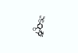 Cc1cnnn1-c1ccc(OC(F)(F)F)cc1Cl